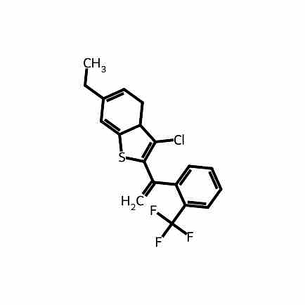 C=C(C1=C(Cl)C2CC=C(CC)C=C2S1)c1ccccc1C(F)(F)F